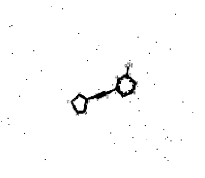 Brc1cccc(C#CC2CCCC2)c1